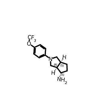 N[C@H]1CC[C@@H]2CN(c3ccc(OC(F)(F)F)cc3)C[C@@H]21